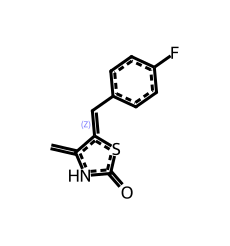 C=c1[nH]c(=O)s/c1=C\c1ccc(F)cc1